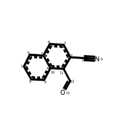 N#Cc1ccc2ccccc2c1C=O